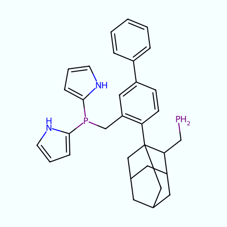 PCC1C2CC3CC(C2)CC1(c1ccc(-c2ccccc2)cc1CP(c1ccc[nH]1)c1ccc[nH]1)C3